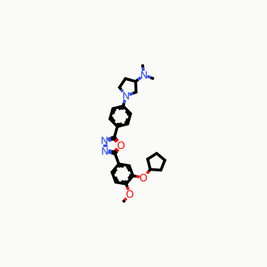 COc1ccc(-c2nnc(-c3ccc(N4CCC(N(C)C)C4)cc3)o2)cc1OC1CCCC1